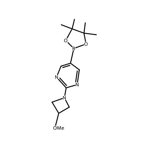 COC1CN(c2ncc(B3OC(C)(C)C(C)(C)O3)cn2)C1